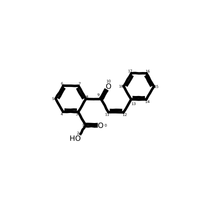 O=C(O)c1ccccc1C(=O)/C=C\c1ccccc1